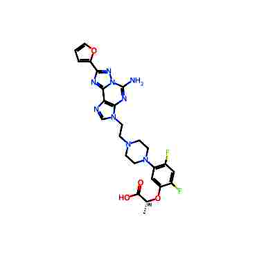 C[C@@H](Oc1cc(N2CCN(CCn3cnc4c3nc(N)n3nc(-c5ccco5)nc43)CC2)c(F)cc1F)C(=O)O